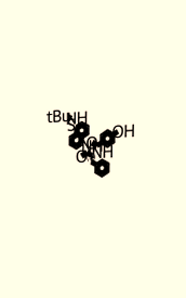 CC(C)(C)NSc1cccc2c(NC(=O)[C@H](Cc3ccccc3)NC(=O)c3ccc(O)cc3)cccc12